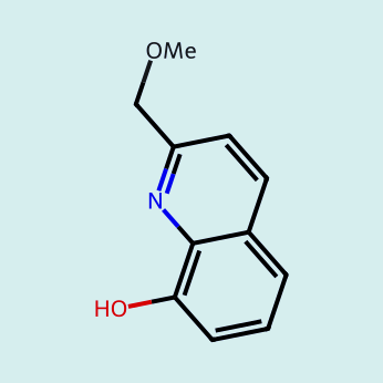 COCc1ccc2cccc(O)c2n1